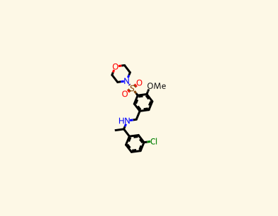 COc1ccc(CNC(C)c2cccc(Cl)c2)cc1S(=O)(=O)N1CCOCC1